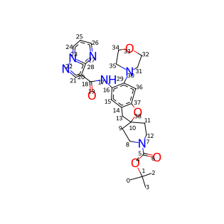 CC(C)(C)OC(=O)N1CCC2(CC1)Cc1cc(NC(=O)c3cnn4cccnc34)c(N3CCOCC3)cc1O2